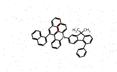 CC1(C)c2cc(N(c3ccccc3)c3ccccc3-c3cc4ccccc4cc3-c3cccc4ccccc34)ccc2-c2c(-c3ccccc3)cccc21